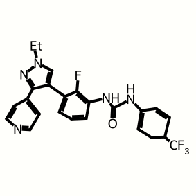 CCn1cc(-c2cccc(NC(=O)NC3=CCC(C(F)(F)F)C=C3)c2F)c(-c2ccncc2)n1